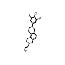 CCC/C=C/C1CCc2c(ccc3c2CCC(c2cc(F)c(Cl)c(F)c2)C3)C1